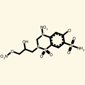 NS(=O)(=O)c1cc2c(cc1Cl)N([N+](=O)[O-])CN(CC(O)CO[N+](=O)[O-])S2(=O)=O